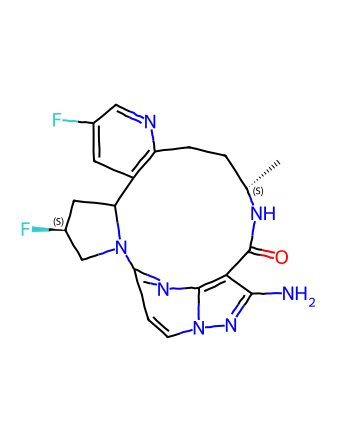 C[C@H]1CCc2ncc(F)cc2C2C[C@H](F)CN2c2ccn3nc(N)c(c3n2)C(=O)N1